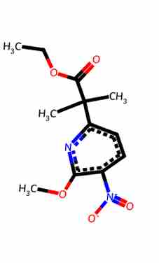 CCOC(=O)C(C)(C)c1ccc([N+](=O)[O-])c(OC)n1